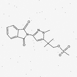 Cn1nc(N2C(=O)c3ccccc3C2=O)cc1C(C)(C)COS(C)(=O)=O